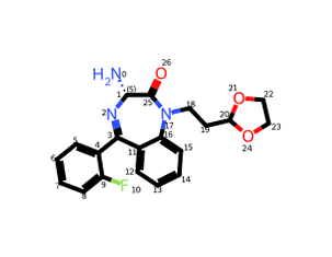 N[C@H]1N=C(c2ccccc2F)c2ccccc2N(CCC2OCCO2)C1=O